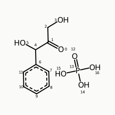 O=C(CO)C(O)c1ccccc1.O=P(O)(O)O